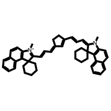 CN1/C(=C/C=C/C2=CC(=C/C=C/C3=[N+](C)c4ccc5ccccc5c4C34CCCCC4)/CC2)C2(CCCCC2)c2c1ccc1ccccc21